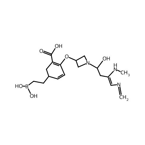 C=N/C=C(/CC(O)N1CC(OC2=C(C(=O)O)CC(CCB(O)O)C=C2)C1)NC